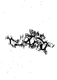 BC1(B)N(C(=O)c2ccc(F)c(Cl)c2)C(B)(B)C(B)(B)C(F)(CNCc2ncc(C)cn2)C1(B)B